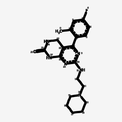 Cc1cc(F)ccc1-c1nc(NCCN2CCCCC2)nc2c1CNC(=O)N2